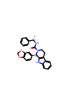 C[C@H](NC(=O)N1CCc2c([nH]c3ccccc23)[C@H]1c1ccc2c(c1)OCO2)c1ccccc1